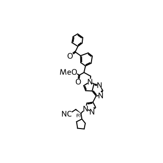 COC(=O)C(Cn1ccc2c(-c3cnn([C@H](CC#N)C4CCCC4)c3)ncnc21)c1cccc(C(=O)c2ccccc2)c1